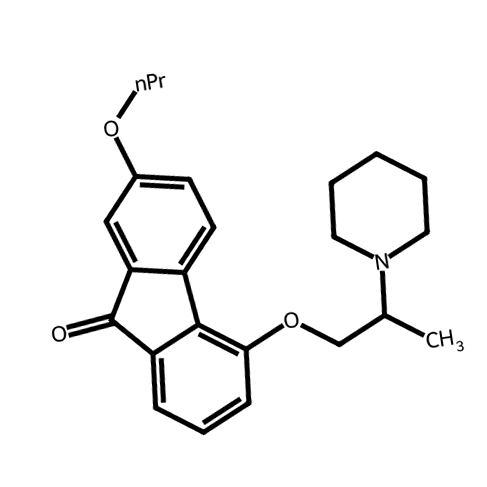 CCCOc1ccc2c(c1)C(=O)c1cccc(OCC(C)N3CCCCC3)c1-2